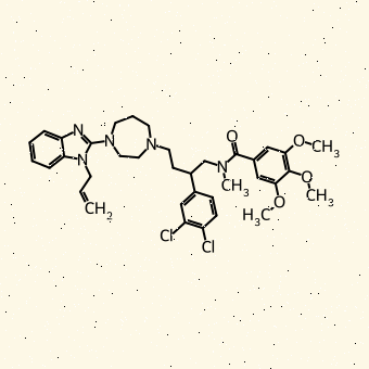 C=CCn1c(N2CCCN(CCC(CN(C)C(=O)c3cc(OC)c(OC)c(OC)c3)c3ccc(Cl)c(Cl)c3)CC2)nc2ccccc21